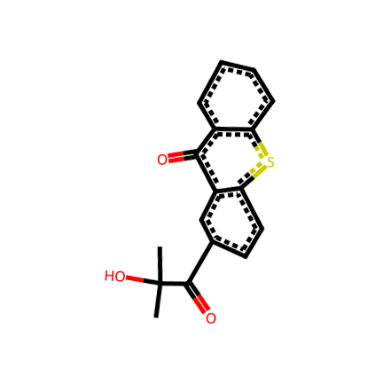 CC(C)(O)C(=O)c1ccc2sc3ccccc3c(=O)c2c1